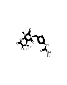 CCNC(=O)Nc1ccc(Cn2c(=O)c3c(n(C)c2=O)NC(=O)C(C(=O)O)[S+]3[O-])cc1